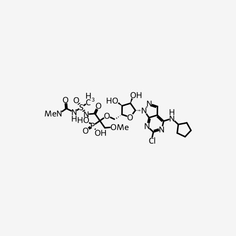 CNC(=O)NS(C)(=O)=NC(=O)C(COC)(OC[C@H]1O[C@@H](n2ncc3c(NC4CCCC4)nc(Cl)nc32)[C@H](O)[C@@H]1O)P(=O)(O)O